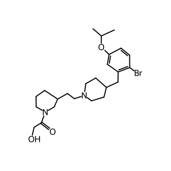 CC(C)Oc1ccc(Br)c(CC2CCN(CCC3CCCN(C(=O)CO)C3)CC2)c1